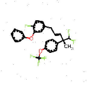 CC(C=CCc1ccc(F)c(Oc2ccccc2)c1)(c1ccc(OC(F)(F)F)cc1)C(F)F